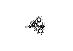 CCCCN1C(=O)C(Nc2ccccc2O)=C(c2ccccc2)S1(=O)=O